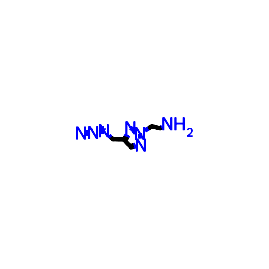 [N-]=[N+]=NCc1cnn(CCN)n1